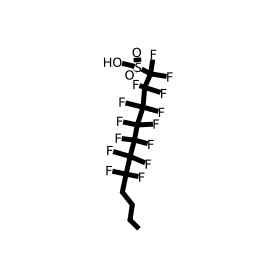 CCCCC(F)(F)C(F)(F)C(F)(F)C(F)(F)C(F)(F)C(F)(F)C(F)(F)S(=O)(=O)O